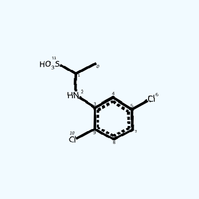 CC(Nc1cc(Cl)ccc1Cl)S(=O)(=O)O